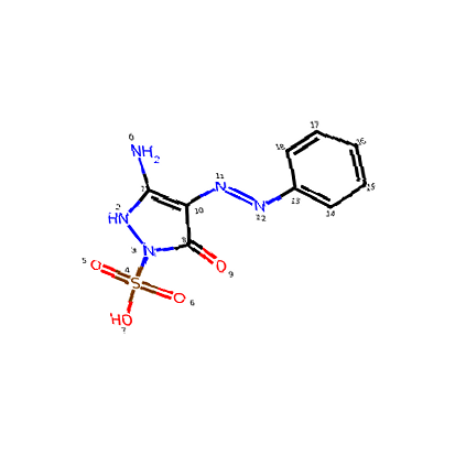 Nc1[nH]n(S(=O)(=O)O)c(=O)c1N=Nc1ccccc1